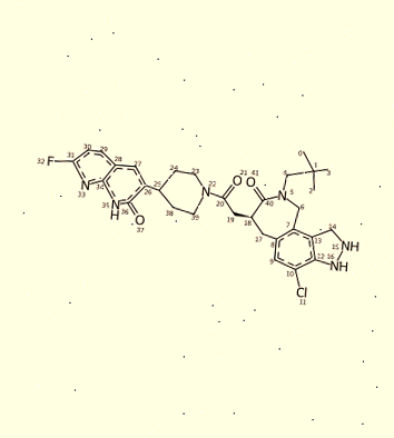 CC(C)(C)CN1Cc2c(cc(Cl)c3c2CNN3)C[C@@H](CC(=O)N2CCC(c3cc4ccc(F)nc4[nH]c3=O)CC2)C1=O